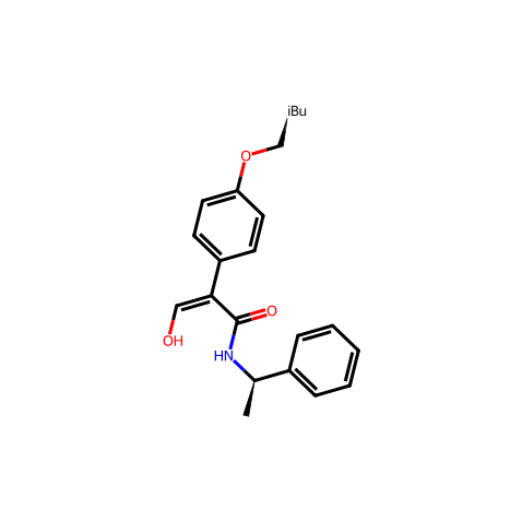 CC[C@H](C)COc1ccc(C(=CO)C(=O)N[C@H](C)c2ccccc2)cc1